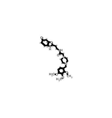 COc1ccc(CN2CCN(CC(=O)NCCC3NC4=C(CC(=O)C=C4)O3)CC2)c(OC)c1OC